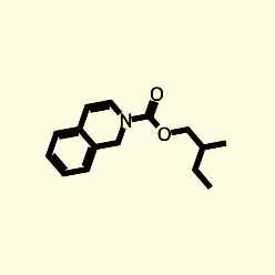 CCC(C)COC(=O)N1C=Cc2ccccc2C1